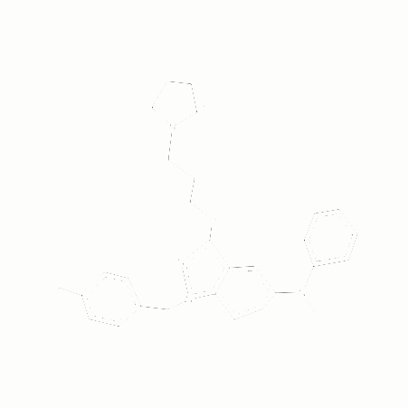 C[C@H]1CCCN1CCCOc1nn(Cc2ccc(Cl)cc2)c2ccc(N(C)c3ccccc3)cc12